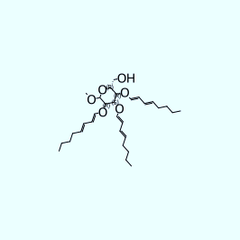 CCCCC=CC=CO[C@H]1[C@H](OC=CC=CCCCC)[C@@H](OC=CC=CCCCC)C(OC)O[C@@H]1CO